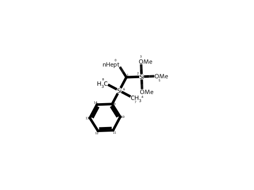 CCCCCCCC([Si](OC)(OC)OC)[Si](C)(C)c1ccccc1